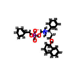 C[N+](C)(COP(=O)([O-])OCc1ccccc1)[C@@H](CCOc1cccc2ccccc12)c1ccccc1